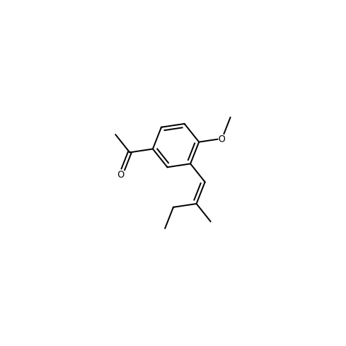 CCC(C)=Cc1cc(C(C)=O)ccc1OC